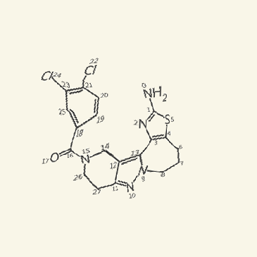 Nc1nc2c(s1)CCCn1nc3c(c1-2)CN(C(=O)c1ccc(Cl)c(Cl)c1)CC3